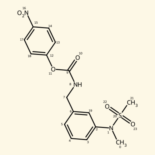 CN(c1cccc(CNC(=O)Oc2ccc([N+](=O)[O-])cc2)c1)S(C)(=O)=O